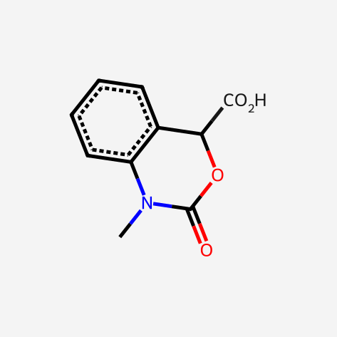 CN1C(=O)OC(C(=O)O)c2ccccc21